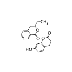 CCc1cc2ccccc2c(=O)o1.O=C1CCc2ccc(O)cc2O1